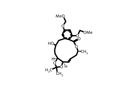 COCOc1cc2c(c(OCOC)c1)C(=O)O[C@@H](C)C/C=C/[C@H]1OC(C)(C)O[C@H]1CCC(O)C2